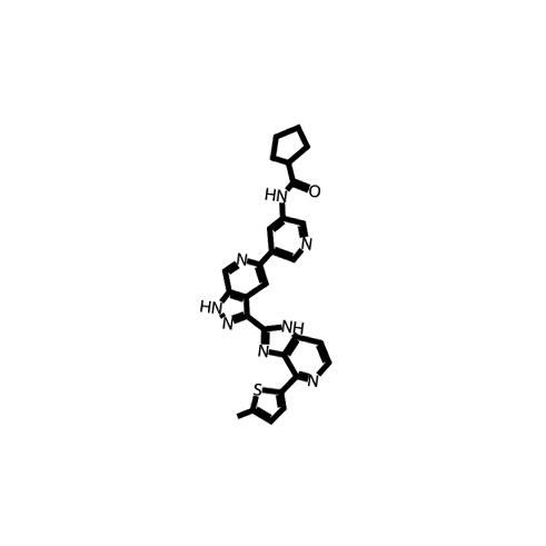 Cc1ccc(-c2nccc3[nH]c(-c4n[nH]c5cnc(-c6cncc(NC(=O)C7CCCC7)c6)cc45)nc23)s1